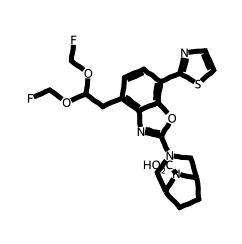 O=C(O)N1C2CCC1CN(c1nc3c(CC(OCF)OCF)ccc(-c4nccs4)c3o1)C2